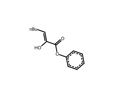 CCCCC=C(O)C(=O)Oc1ccccc1